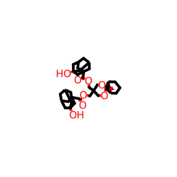 O=C(OCC1(COC(=O)C23CC4CC(CC(O)(C4)C2)C3)COC2(OC1)C1CCCC2CCC1)C12CC3CC(CC(O)(C3)C1)C2